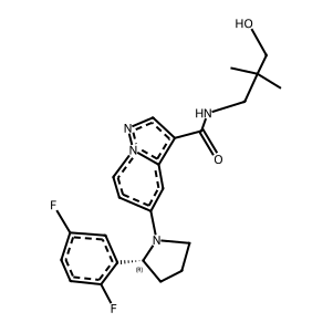 CC(C)(CO)CNC(=O)c1cnn2ccc(N3CCC[C@@H]3c3cc(F)ccc3F)cc12